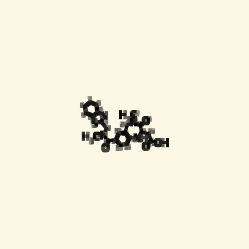 CN(Cc1nc2ccccc2s1)C(=O)c1ccc2c(c1)CN(C)C(=O)C(CC(=O)O)N2